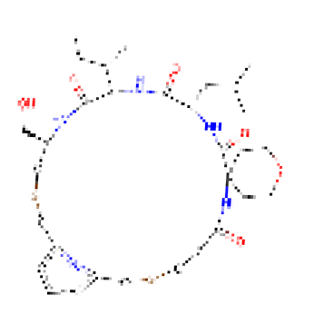 CC[C@H](C)[C@@H]1NC(=O)[C@H](CC(C)C)NC(=O)C2(CCOCC2)NC(=O)CCSCc2cccc(n2)CSC[C@@H](CO)NC1=O